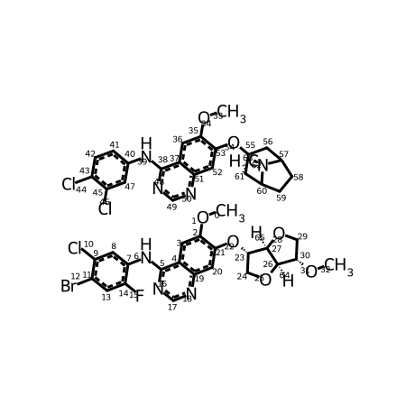 COc1cc2c(Nc3cc(Cl)c(Br)cc3F)ncnc2cc1O[C@H]1CO[C@H]2[C@@H]1OC[C@@H]2OC.COc1cc2c(Nc3ccc(Cl)c(Cl)c3)ncnc2cc1OC1CC2CCC(C1)N2C